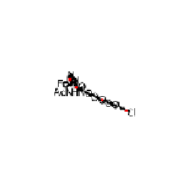 CC(=O)N[C@@H](CSc1nc2cncnc2n1Cc1ccc(F)cc1)C(=O)NCCOCCOCCOCCOCCOCCCCCCCl